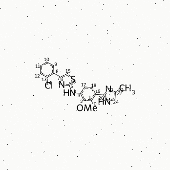 COc1cc(Nc2nc(-c3ccccc3Cl)cs2)ccc1-c1nc(C)c[nH]1